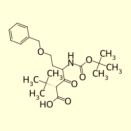 CC(C)(C)OC(=O)NC(CCOCc1ccccc1)C(=O)[C@H](C(=O)O)C(C)(C)C